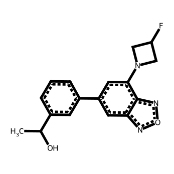 CC(O)c1cccc(-c2cc(N3CC(F)C3)c3nonc3c2)c1